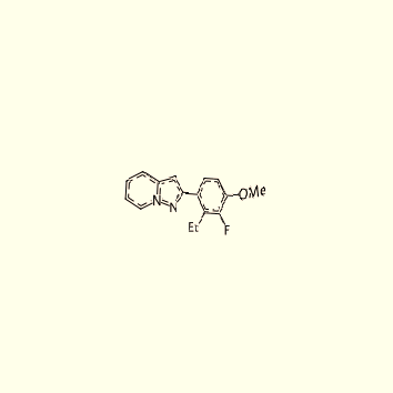 CCc1c(-c2cc3ccccn3n2)ccc(OC)c1F